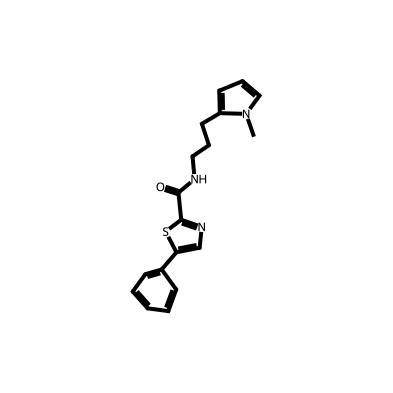 Cn1cccc1CCCNC(=O)c1ncc(-c2ccccc2)s1